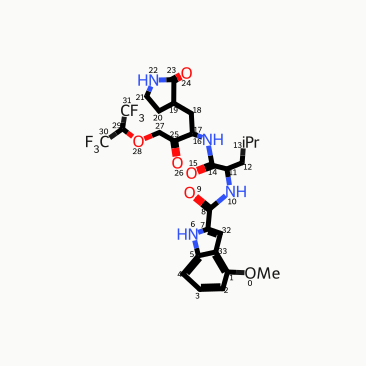 COc1cccc2[nH]c(C(=O)NC(CC(C)C)C(=O)NC(CC3CCNC3=O)C(=O)COC(C(F)(F)F)C(F)(F)F)cc12